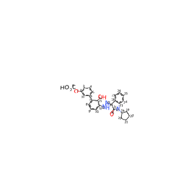 O=C(O)Oc1cccc(-c2cccc(NN=C3C(=O)N(C4CCCC4)c4ccccc43)c2O)c1